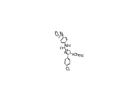 CCCCCCCCCCC1CN(C(=O)Nc2ccc([N+](=O)[O-])cc2)N=C1c1ccc(Cl)cc1